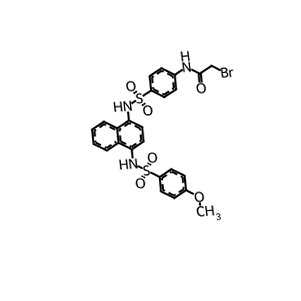 COc1ccc(S(=O)(=O)Nc2ccc(NS(=O)(=O)c3ccc(NC(=O)CBr)cc3)c3ccccc23)cc1